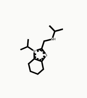 CC(C)NCc1sc2c([n+]1C(C)C)CCCC2